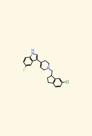 Fc1ccc2[nH]cc(C3=CCN(CC4CCc5ccc(Cl)cc54)CC3)c2c1